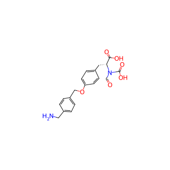 NCc1ccc(COc2ccc(C[C@H](C(=O)O)N(C=O)C(=O)O)cc2)cc1